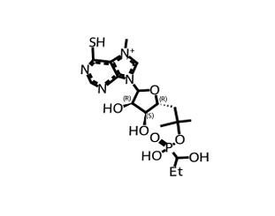 CCC(O)P(=O)(O)OC(C)(C)C[C@H]1OC(n2c[n+](C)c3c(S)ncnc32)[C@H](O)[C@@H]1O